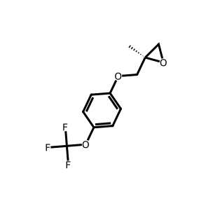 C[C@]1(COc2ccc(OC(F)(F)F)cc2)CO1